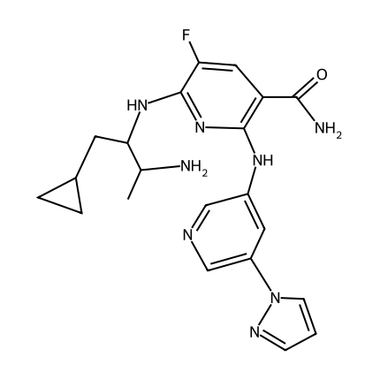 CC(N)C(CC1CC1)Nc1nc(Nc2cncc(-n3cccn3)c2)c(C(N)=O)cc1F